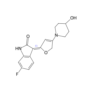 O=C1Nc2cc(F)ccc2/C1=C1/C=C(N2CCC(O)CC2)CO1